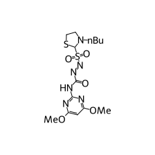 CCCCN1CCSC1S(=O)(=O)/N=N/C(=O)Nc1nc(OC)cc(OC)n1